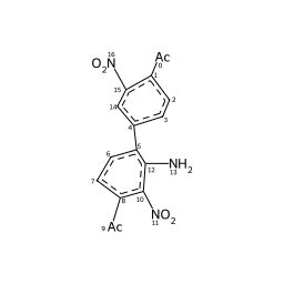 CC(=O)c1ccc(-c2ccc(C(C)=O)c([N+](=O)[O-])c2N)cc1[N+](=O)[O-]